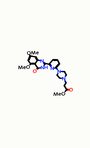 COC(=O)CCN1CCN(c2cccc(-c3nc4cc(OC)cc(OC)c4c(=O)[nH]3)n2)CC1